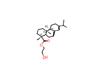 CC(C)C1=CC2=CCC3[C@](C)(C(=O)OCCO)CCC[C@]3(C)[C@H]2CC1